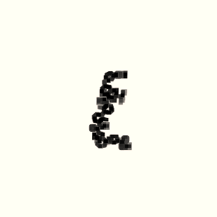 Cc1c(NC(=O)c2cc3n(n2)CCC[C@@H]3N2CC[C@@H](C(=O)O)C2)cccc1-c1cccc(Nc2nc(C(F)F)nc3cc(CN4CC[C@@H](O)C4)cnc23)c1C